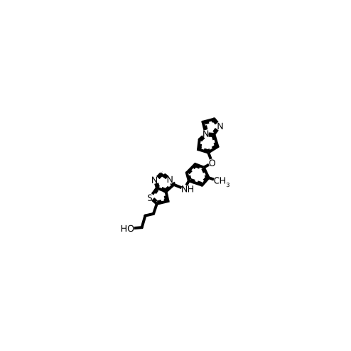 Cc1cc(Nc2ncnc3sc(CCCO)cc23)ccc1Oc1ccn2ccnc2c1